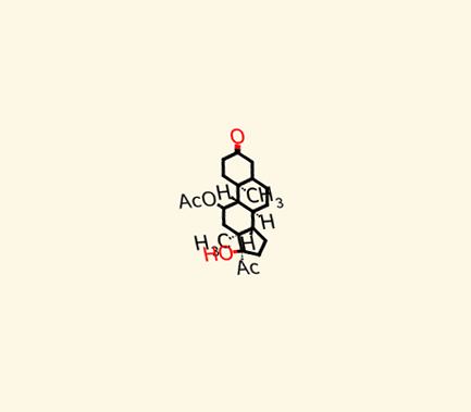 CC(=O)OC1C[C@@]2(C)[C@@H](CC[C@]2(O)C(C)=O)[C@@H]2CCC3CC(=O)CC[C@]3(C)[C@@H]12